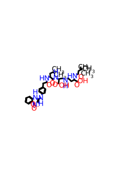 CC(C)CC(NC(=O)Cc1ccc(N/C(=C/[N+](=O)[O-])Nc2ccccc2)cc1)C(=O)NC(CNCCC(NC(=O)CC(C)(C)C)C(=O)O)C(=O)O